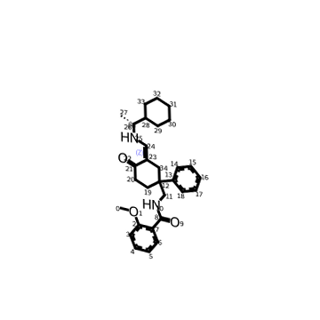 COc1ccccc1C(=O)NCC1(c2ccccc2)CCC(=O)/C(=C\N[C@H](C)C2CCCCC2)C1